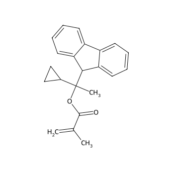 C=C(C)C(=O)OC(C)(C1CC1)C1c2ccccc2-c2ccccc21